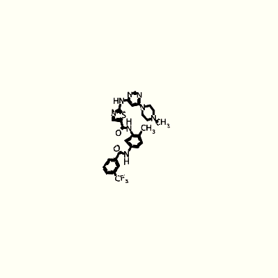 Cc1ccc(NC(=O)c2cccc(C(F)(F)F)c2)cc1NC(=O)c1cnc(Nc2cc(N3CCN(C)CC3)ncn2)s1